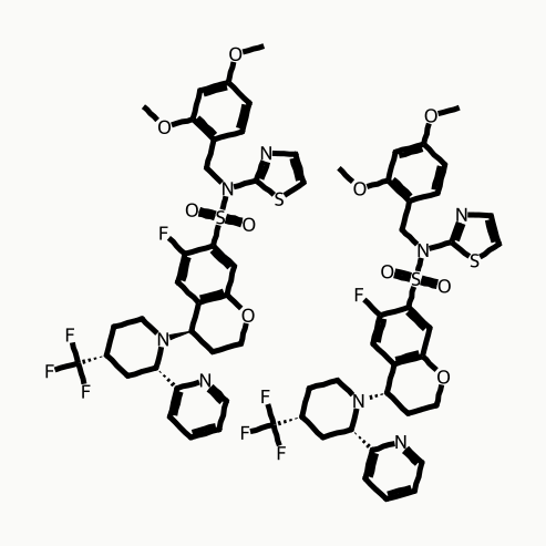 COc1ccc(CN(c2nccs2)S(=O)(=O)c2cc3c(cc2F)[C@@H](N2CC[C@@H](C(F)(F)F)C[C@H]2c2ccccn2)CCO3)c(OC)c1.COc1ccc(CN(c2nccs2)S(=O)(=O)c2cc3c(cc2F)[C@H](N2CC[C@@H](C(F)(F)F)C[C@H]2c2ccccn2)CCO3)c(OC)c1